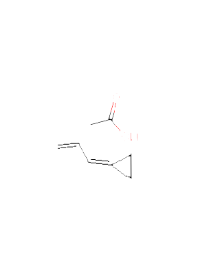 C=CC=C1CC1.CC(=O)O